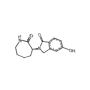 O=C1NCCCC[C@@H]1N1Cc2cc(O)ccc2C1=O